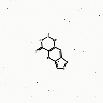 O=C1NNNc2cc3nncc-3[nH]c21